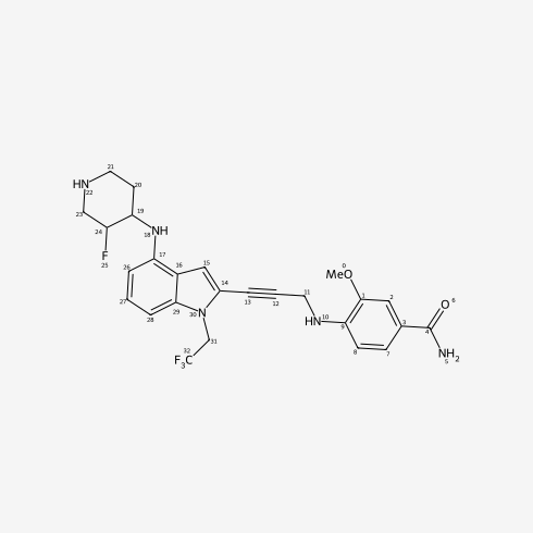 COc1cc(C(N)=O)ccc1NCC#Cc1cc2c(NC3CCNCC3F)cccc2n1CC(F)(F)F